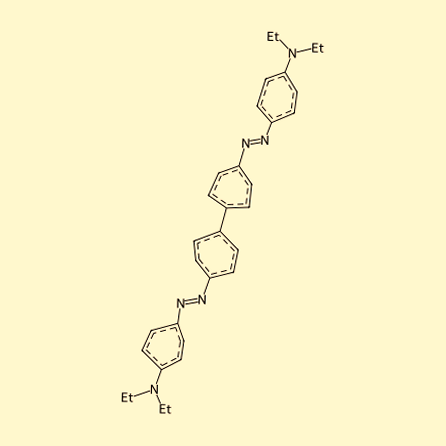 CCN(CC)c1ccc(/N=N/c2ccc(-c3ccc(/N=N/c4ccc(N(CC)CC)cc4)cc3)cc2)cc1